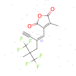 C#C/C(=C\C1=C(C)C(=O)OC1=O)CC(C)(C(F)(F)F)C(F)(F)F